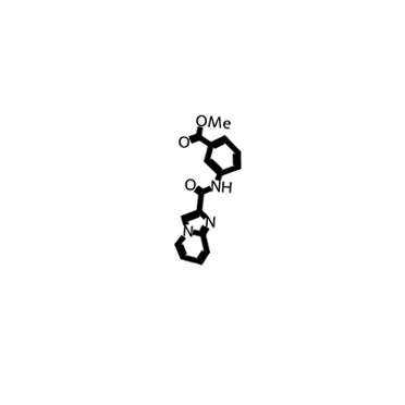 COC(=O)c1cccc(NC(=O)c2cn3ccccc3n2)c1